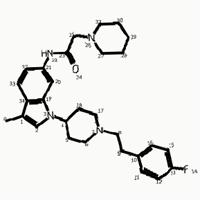 Cc1cn(C2CCN(CCc3ccc(F)cc3)CC2)c2cc(NC(=O)CN3CCCCC3)ccc12